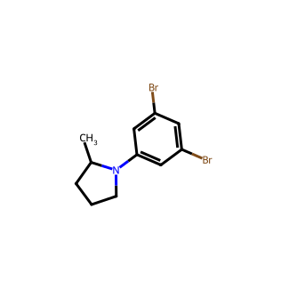 CC1CCCN1c1cc(Br)cc(Br)c1